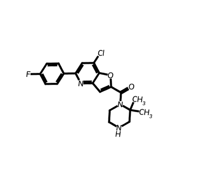 CC1(C)CNCCN1C(=O)c1cc2nc(-c3ccc(F)cc3)cc(Cl)c2o1